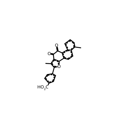 Cc1c(-c2ccc(C(=O)O)cc2)oc2c1C(=O)C(=O)c1c-2ccc2c(C)cccc12